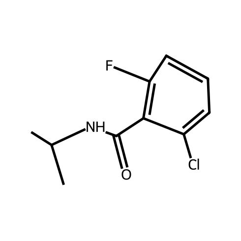 CC(C)NC(=O)c1c(F)cccc1Cl